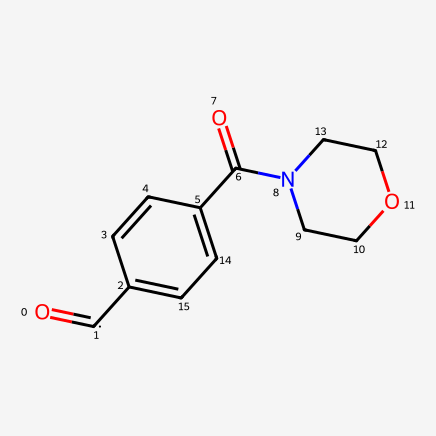 O=[C]c1ccc(C(=O)N2CCOCC2)cc1